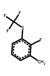 [CH2]c1cccc(SC(F)(F)F)c1F